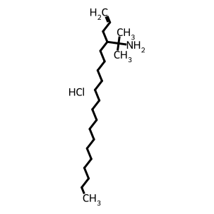 C=CCC(CCCCCCCCCCCCCCCC)C(C)(C)N.Cl